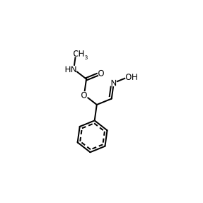 CNC(=O)OC(C=NO)c1ccccc1